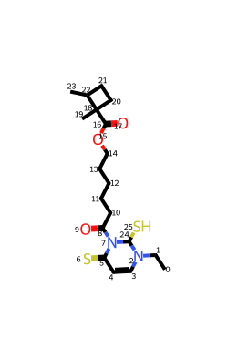 CCN1C=CC(=S)N(C(=O)CCCCCOC(=O)C2(C)CCC2C)C1S